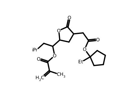 C=C(C)C(=O)OC(CC(C)C)C1CC(CC(=O)OC2(CC)CCCC2)C(=O)O1